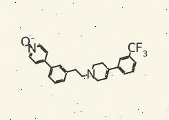 [O-][n+]1ccc(-c2cccc(CCN3CC=C(c4cccc(C(F)(F)F)c4)CC3)c2)cc1